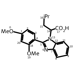 COc1ccc(-c2nc3ccccc3n2C(CC(C)C)C(=O)O)c(OC)c1